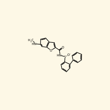 CNc1ccc2cc(C(=O)N[S+]([O-])c3ccccc3-c3ccccc3)oc2c1